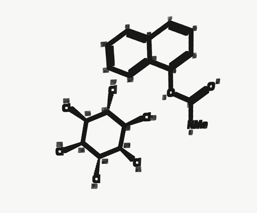 CNC(=O)Oc1cccc2ccccc12.Cl[C@H]1[C@H](Cl)[C@@H](Cl)[C@@H](Cl)[C@H](Cl)[C@H]1Cl